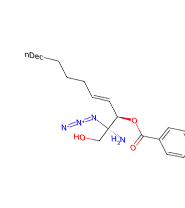 CCCCCCCCCCCCC/C=C/[C@@H](OC(=O)c1ccccc1)[C@@](N)(CO)N=[N+]=[N-]